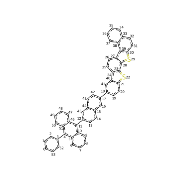 c1ccc(-c2c3ccccc3c(-c3ccc4cc(-c5ccc6sc7c(ccc8c7sc7ccc9ccccc9c78)c6c5)ccc4c3)c3ccccc23)cc1